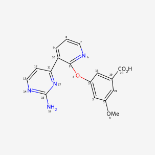 COc1cc(Oc2ncccc2-c2ccnc(N)n2)cc(C(=O)O)c1